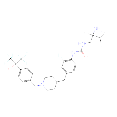 CC(C)C(C)(N)CNC(=O)Nc1ccc(CC2CCN(Cc3ccc(C(O)(C(F)(F)F)C(F)(F)F)cc3)CC2)cc1F